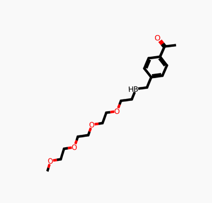 COCCOCCOCCOCCBCc1ccc(C(C)=O)cc1